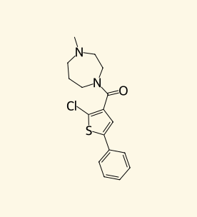 CN1CCCN(C(=O)c2cc(-c3ccccc3)sc2Cl)CC1